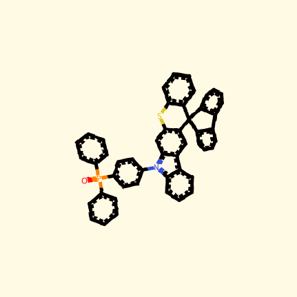 O=P(c1ccccc1)(c1ccccc1)c1ccc(-n2c3ccccc3c3cc4c(cc32)Sc2ccccc2C42c3ccccc3-c3ccccc32)cc1